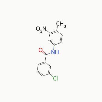 Cc1ccc(NC(=O)c2cccc(Cl)c2)cc1[N+](=O)[O-]